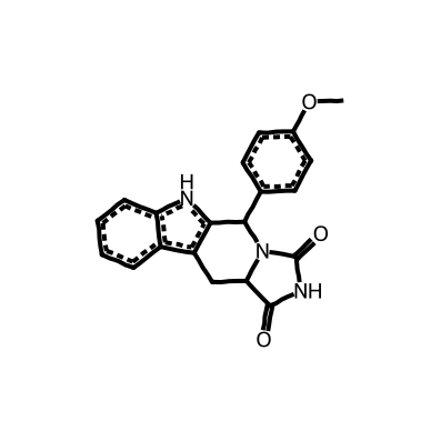 COc1ccc(C2c3[nH]c4ccccc4c3CC3C(=O)NC(=O)N32)cc1